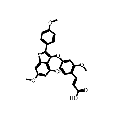 COc1ccc(-c2sc3cc(OC)cc(O)c3c2Oc2ccc(C=CC(=O)O)c(OC)c2)cc1